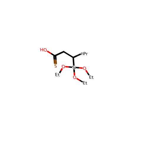 CCCC(CC(O)=S)[Si](OCC)(OCC)OCC